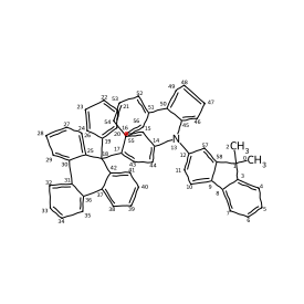 CC1(C)c2ccccc2-c2ccc(N(c3ccc(C4(c5ccccc5)c5ccccc5-c5ccccc5-c5ccccc54)cc3)c3ccccc3-c3ccccc3)cc21